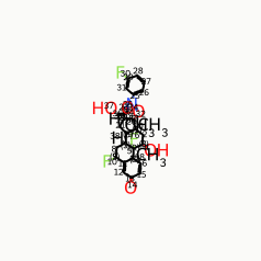 C[C@]12C[C@H](O)[C@@]3(F)[C@@H](C[C@H](F)C4=CC(=O)C=C[C@@]43C)[C@]1(C)C[C@H]1CN(c3cccc(F)c3)O[C@]12C(=O)CO